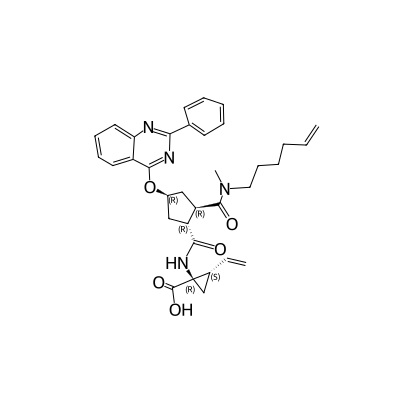 C=CCCCCN(C)C(=O)[C@@H]1C[C@H](Oc2nc(-c3ccccc3)nc3ccccc23)C[C@H]1C(=O)N[C@]1(C(=O)O)C[C@H]1C=C